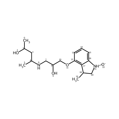 CC(O)CC(C)NCC(O)COc1cccc2c1C(C)C[NH+]2[O-]